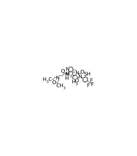 CC1CN(CCC(=O)Nc2cc(CN3C(=O)N(c4ccc(C(F)(F)F)cc4S)C(=O)C3(C)C)ccn2)CC(C)O1